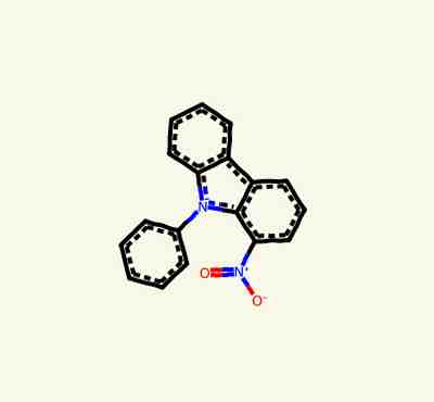 O=[N+]([O-])c1cccc2c3ccccc3n(-c3ccccc3)c12